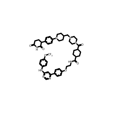 O=C1CCC(c2ccc(N3CCC(CN4CCN(C(=O)C5CCC(C(=O)NCCOc6ccc(-c7cc(Nc8ccc(OC(F)(F)F)cc8)ncn7)cc6)CC5)CC4)CC3)cc2)C(=O)N1